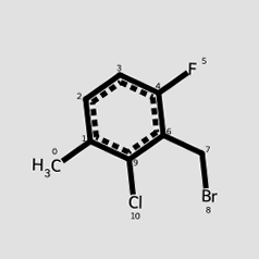 Cc1ccc(F)c(CBr)c1Cl